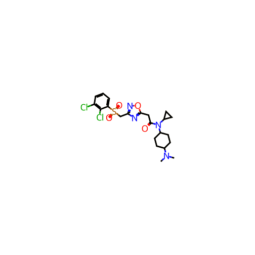 CN(C)C1CCC(N(C(=O)Cc2nc(CS(=O)(=O)c3cccc(Cl)c3Cl)no2)C2CC2)CC1